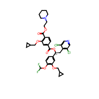 O=C(O[C@@H](Cc1c(Cl)cncc1Cl)c1ccc(OC(F)F)c(OCC2CC2)c1)c1ccc(C(=O)OCCN2CCCCC2)c(OCC2CC2)c1